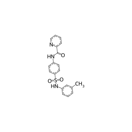 Cc1cccc(NS(=O)(=O)c2ccc(NC(=O)c3ccccn3)cc2)c1